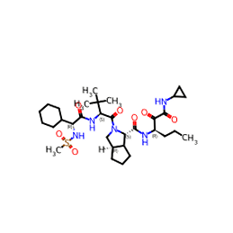 CCC[C@@H](NC(=O)[C@@H]1C2CCC[C@H]2CN1C(=O)[C@@H](NC(=O)[C@H](NS(C)(=O)=O)C1CCCCC1)C(C)(C)C)C(=O)C(=O)NC1CC1